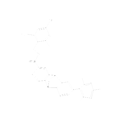 Cc1cc(N)nc(C)c1CNC(=O)c1ccc2c(c1)[C@@H]1O[C@H]2c2ccc(-c3c(C)cc(F)cc3F)cc21